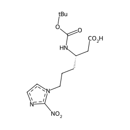 CC(C)(C)OC(=O)N[C@@H](CCCn1ccnc1[N+](=O)[O-])CC(=O)O